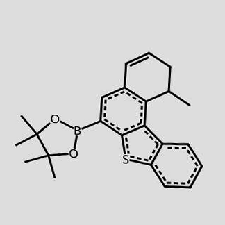 CC1CC=Cc2cc(B3OC(C)(C)C(C)(C)O3)c3sc4ccccc4c3c21